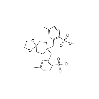 Cc1ccc(S(=O)(=O)O)c(CC2(Cc3cc(C)ccc3S(=O)(=O)O)CCC3(CC2)OCCO3)c1